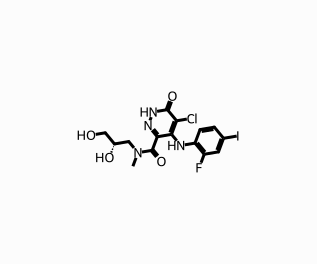 CN(C[C@H](O)CO)C(=O)c1n[nH]c(=O)c(Cl)c1Nc1ccc(I)cc1F